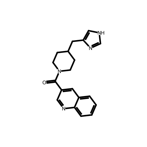 O=C(c1cnc2ccccc2c1)N1CCC(Cc2c[nH]cn2)CC1